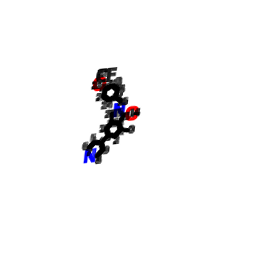 Cc1cc(-c2ccncc2)cc2c1C(=O)N(Cc1ccc(OC(F)(F)F)cc1)C2